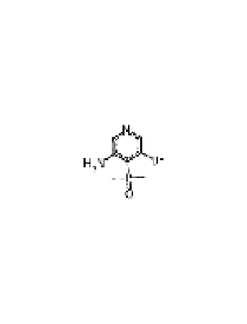 CP(C)(=O)c1c(N)cncc1Br